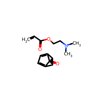 C=CC(=O)OCCN(C)C.O=C1C2=CC=C1C=C2